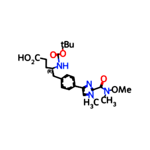 CON(C)C(=O)c1nc(-c2ccc(C[C@@H](CCC(=O)O)NC(=O)OC(C)(C)C)cc2)cn1C